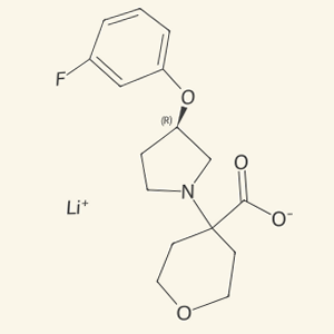 O=C([O-])C1(N2CC[C@@H](Oc3cccc(F)c3)C2)CCOCC1.[Li+]